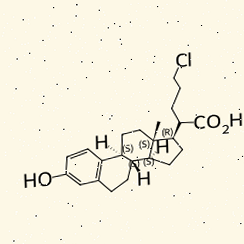 C[C@]12CC[C@@H]3c4ccc(O)cc4CC[C@H]3[C@@H]1CC[C@@H]2C(CCCCl)C(=O)O